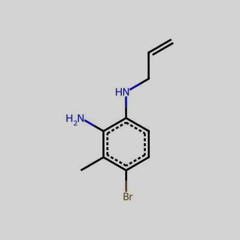 C=CCNc1ccc(Br)c(C)c1N